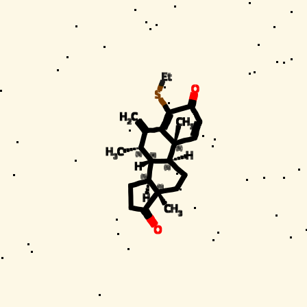 C=C1C2=C(SCC)C(=O)C=C[C@]2(C)[C@H]2CC[C@]3(C)C(=O)CC[C@H]3[C@@H]2[C@@H]1C